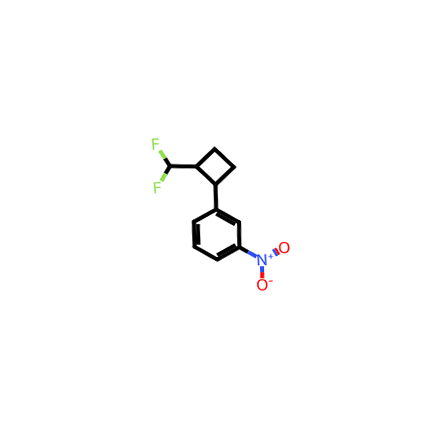 O=[N+]([O-])c1cccc(C2CCC2C(F)F)c1